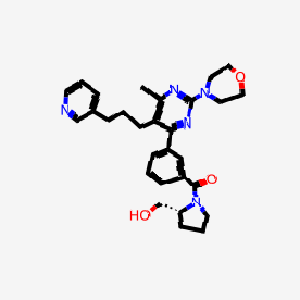 Cc1nc(N2CCOCC2)nc(-c2cccc(C(=O)N3CCC[C@@H]3CO)c2)c1CCCc1cccnc1